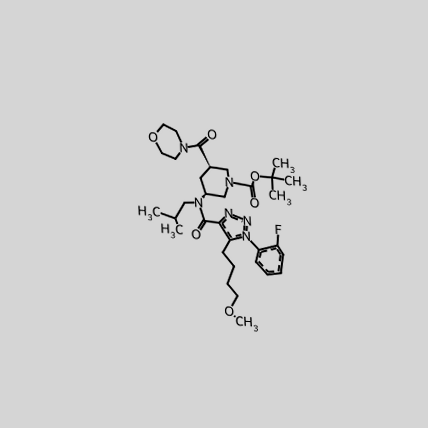 COCCCCc1c(C(=O)N(CC(C)C)[C@H]2C[C@@H](C(=O)N3CCOCC3)CN(C(=O)OC(C)(C)C)C2)nnn1-c1ccccc1F